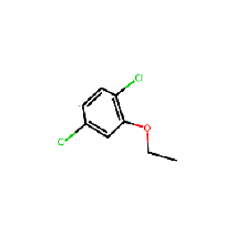 CCOc1cc(Cl)[c]cc1Cl